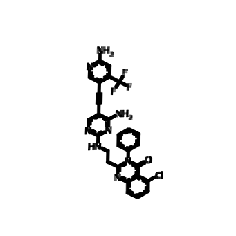 Nc1cc(C(F)(F)F)c(C#Cc2cnc(NCCc3nc4cccc(Cl)c4c(=O)n3-c3ccccc3)nc2N)cn1